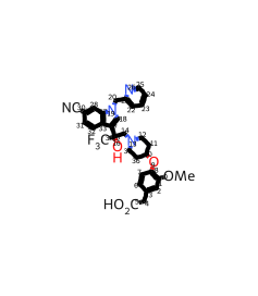 COc1cc(CC(=O)O)ccc1OC1CCN(CC(O)(c2cn(Cc3ccccn3)c3cc(C#N)ccc23)C(F)(F)F)CC1